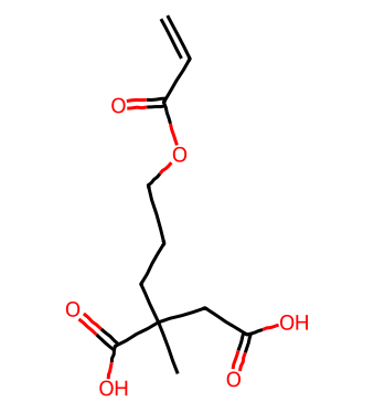 C=CC(=O)OCCCC(C)(CC(=O)O)C(=O)O